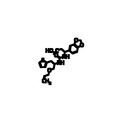 C=CCOCC(Cc1cccs1)NC(=O)NC(CC(=O)O)c1ccc2c(c1)OCO2